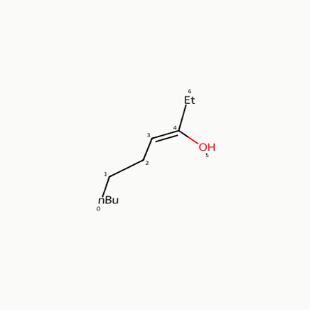 CCCCCCC=C(O)CC